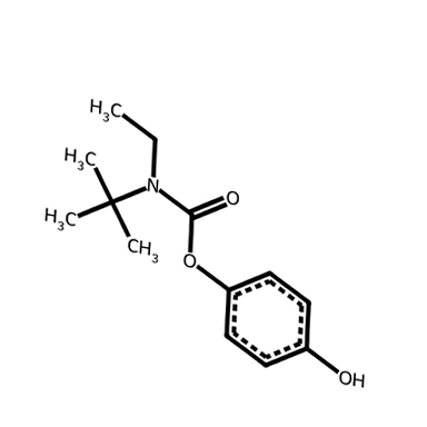 CCN(C(=O)Oc1ccc(O)cc1)C(C)(C)C